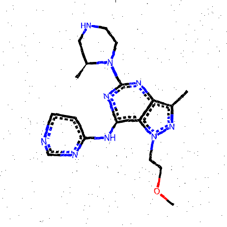 COCCn1nc(C)c2nc(N3CCNC[C@@H]3C)nc(Nc3ccncn3)c21